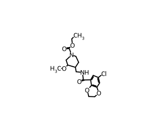 CCOC(=O)N1CCC(CNC(=O)c2cc(Cl)cc3c2OCCO3)C(OC)C1